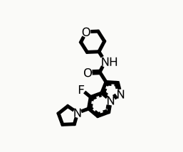 O=C(NC1CCOCC1)c1cnn2ccc(N3CCCC3)c(F)c12